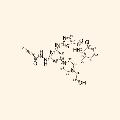 CC#CC(=O)NNc1nc(Nc2ncc(C(=O)Nc3c(C)cccc3Cl)s2)cc(N2CCN(CCO)CC2)n1